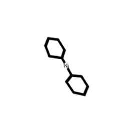 C1CC[CH]([Ni][CH]2CCCCC2)CC1